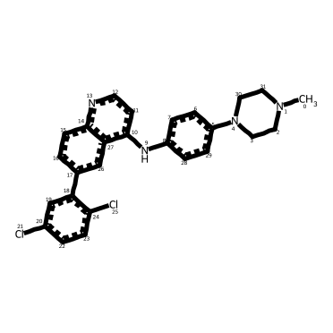 CN1CCN(c2ccc(Nc3ccnc4ccc(-c5cc(Cl)ccc5Cl)cc34)cc2)CC1